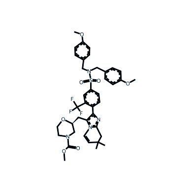 COC(=O)N1CCO[C@@H](Cc2c(-c3ccc(S(=O)(=O)N(Cc4ccc(OC)cc4)Cc4ccc(OC)cc4)cc3C(F)(F)F)nc3n2C=CC(C)(C)C3)C1